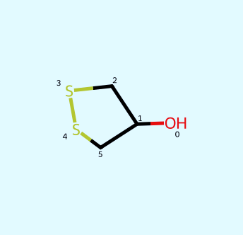 OC1CSSC1